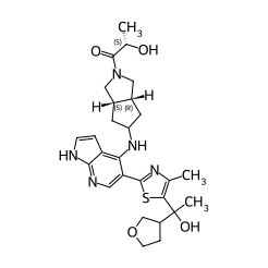 Cc1nc(-c2cnc3[nH]ccc3c2NC2C[C@@H]3CN(C(=O)[C@H](C)O)C[C@@H]3C2)sc1C(C)(O)C1CCOC1